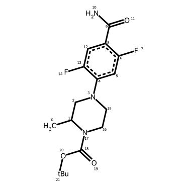 CC1CN(c2cc(F)c(C(N)=O)cc2F)CCN1C(=O)OC(C)(C)C